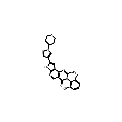 Cc1nc2c(cnc3[nH]c(-c4cnn(C5CCNCC5)c4)cc32)c(=O)n1-c1c(Cl)cccc1Cl